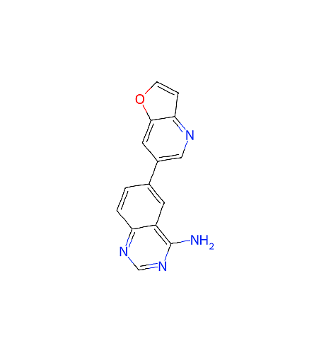 Nc1ncnc2ccc(-c3cnc4ccoc4c3)cc12